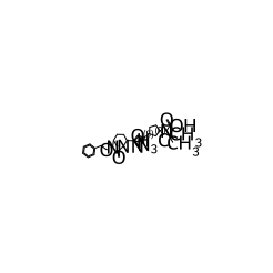 CC(C)(C)N(C(=O)O)[C@@H]1CC[C@H](c2nnc(C3CCC4CN3C(=O)N4OCc3ccccc3)o2)C1